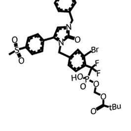 CC(C)(C)C(=O)OCOP(=O)(O)C(F)(F)c1ccc(Cn2c(-c3ccc(S(C)(=O)=O)cc3)cn(Cc3ccccc3)c2=O)cc1Br